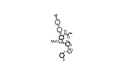 C=CC(=O)Nc1cc(Nc2cc(N3OCC[C@@H]3Cc3cccc(F)c3)ncn2)c(OC)cc1N1CCC(N2CCN(C3CC3)CC2)CC1